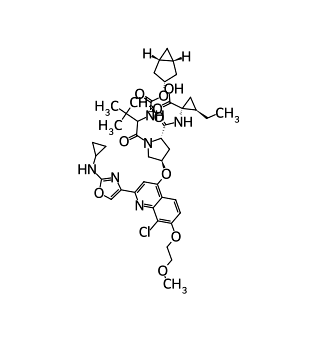 CC[C@@H]1C[C@]1(NC(=O)[C@@H]1C[C@@H](Oc2cc(-c3coc(NC4CC4)n3)nc3c(Cl)c(OCCOC)ccc23)CN1C(=O)C(NC(=O)O[C@@H]1C[C@@H]2C[C@@H]2C1)C(C)(C)C)C(=O)O